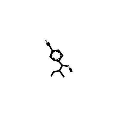 C=NC(c1ccc(C#N)cc1)C(C)CC